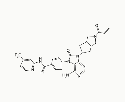 C=CC(=O)N1CC2CC(n3c(=O)n(-c4ccc(C(=O)Nc5cc(C(F)(F)F)ccn5)cc4)c4c(N)ncnc43)CC2C1